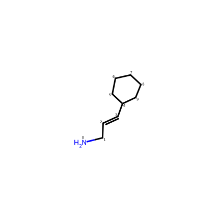 NCC=CC1CCCCC1